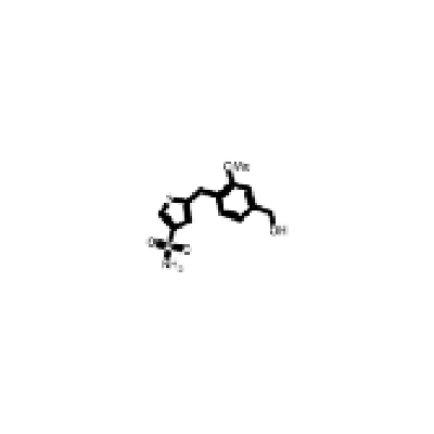 COc1cc(CO)ccc1Cc1cc(S(N)(=O)=O)cs1